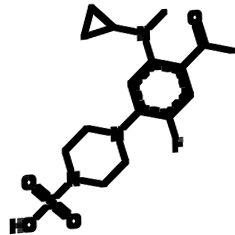 CC(=O)c1cc(F)c(N2CCN(S(=O)(=O)O)CC2)cc1N(C)C1CC1